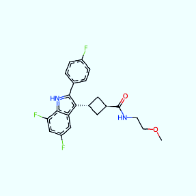 COCCNC(=O)[C@H]1C[C@H](c2c(-c3ccc(F)cc3)[nH]c3c(F)cc(F)cc32)C1